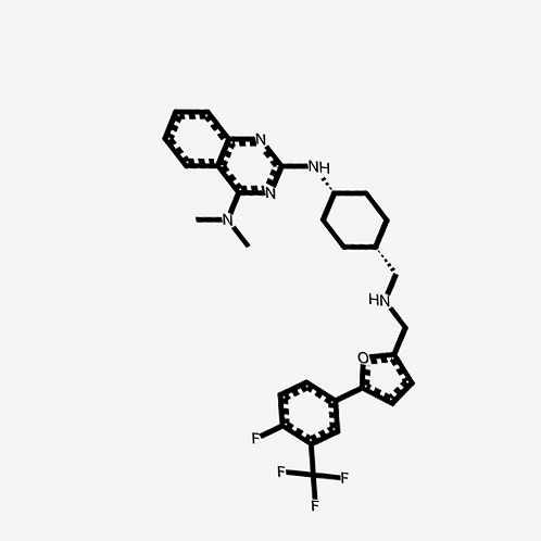 CN(C)c1nc(N[C@H]2CC[C@@H](CNCc3ccc(-c4ccc(F)c(C(F)(F)F)c4)o3)CC2)nc2ccccc12